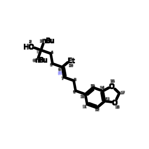 CCCCC(O)(CCCC)CC/C(=C/CCc1ccc2c(c1)OCO2)CC